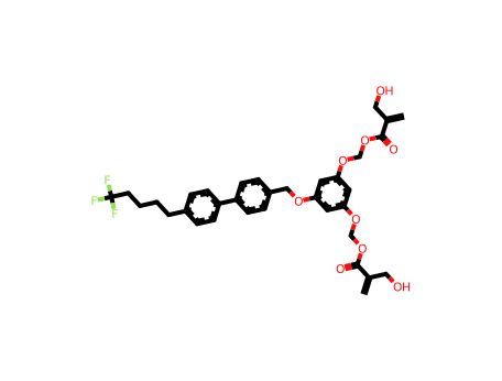 C=C(CO)C(=O)OCOc1cc(OCOC(=O)C(=C)CO)cc(OCc2ccc(-c3ccc(CCCCC(F)(F)F)cc3)cc2)c1